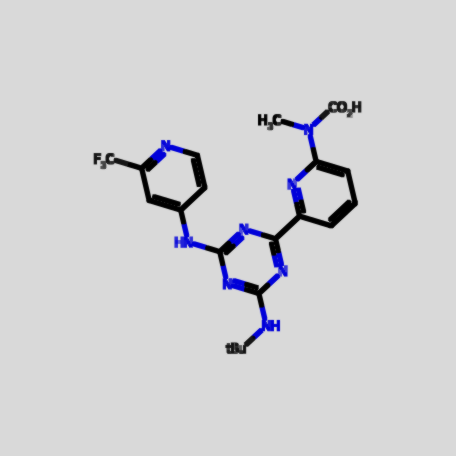 CN(C(=O)O)c1cccc(-c2nc(Nc3ccnc(C(F)(F)F)c3)nc(NC(C)(C)C)n2)n1